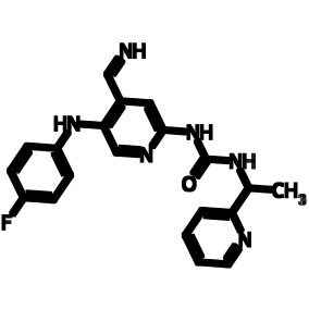 CC(NC(=O)Nc1cc(C=N)c(Nc2ccc(F)cc2)cn1)c1ccccn1